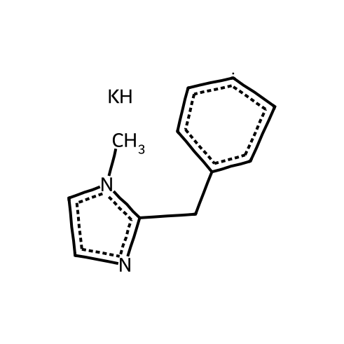 Cn1ccnc1Cc1cc[c]cc1.[KH]